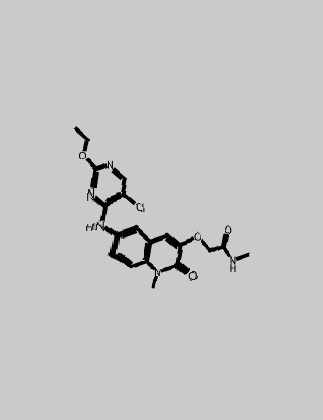 CCOc1ncc(Cl)c(Nc2ccc3c(c2)cc(OCC(=O)NC)c(=O)n3C)n1